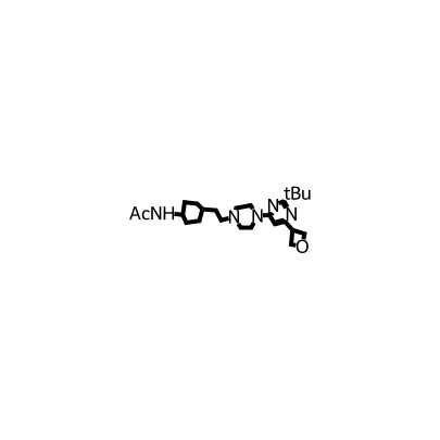 CC(=O)NC1CCC(CCN2CCN(c3cc(C4COC4)nc(C(C)(C)C)n3)CC2)CC1